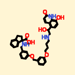 O=C(O)C1(NCc2cccc(OCc3cccc(OCCCCNCC(O)c4ccc(O)c5[nH]c(=O)ccc45)c3)c2)CCc2ccccc21